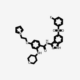 O=C(Nc1n[nH]c2ccc(S(=O)(=O)c3cccc(F)c3)cc12)c1ccc(OCCn2cccc2)cc1NC1CCOCC1